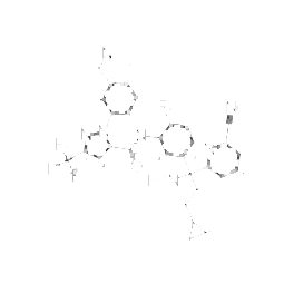 N#Cc1cccc(C(N)(CCC2CC2)c2ccc(F)c(NC(=O)c3cc(C(F)(F)F)nn3-c3cccc(CN)c3)c2)n1